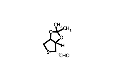 CC1(C)OC2CS[C@@H](C=O)[C@H]2O1